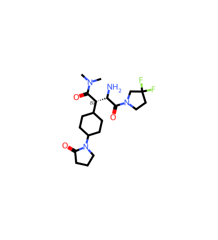 CN(C)C(=O)[C@@H](C1CCC(N2CCCC2=O)CC1)C(N)C(=O)N1CCC(F)(F)C1